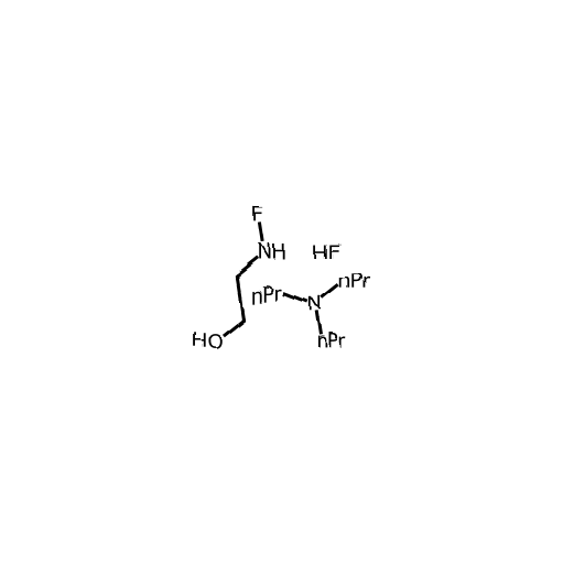 CCCN(CCC)CCC.F.OCCNF